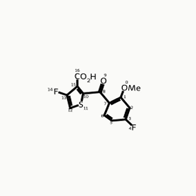 COc1cc(F)ccc1C(=O)c1scc(F)c1C(=O)O